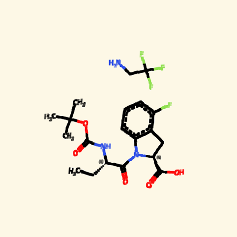 CC[C@H](NC(=O)OC(C)(C)C)C(=O)N1c2cccc(F)c2C[C@H]1C(=O)O.NCC(F)(F)F